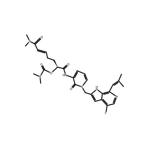 CC(C)=Cc1ncc(F)c2cc(Cn3cccc(NC(=O)[C@H](CC/C=C/C(=O)N(C)C)OC(=O)N(C)C)c3=O)[nH]c12